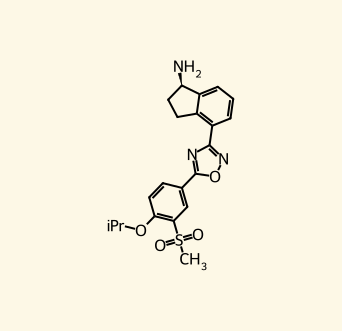 CC(C)Oc1ccc(-c2nc(-c3cccc4c3CC[C@H]4N)no2)cc1S(C)(=O)=O